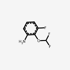 Nc1cccc(F)c1OC(F)F